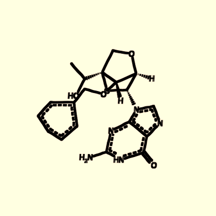 CC(O)[C@@]12CO[C@@H]([C@H](n3cnc4c(=O)[nH]c(N)nc43)O1)[C@@H]2OCc1ccccc1